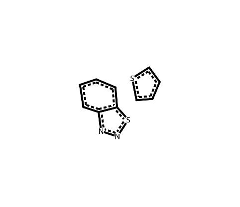 c1ccc2snnc2c1.c1ccsc1